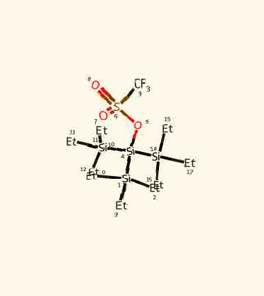 CC[Si](CC)(CC)[Si](OS(=O)(=O)C(F)(F)F)([Si](CC)(CC)CC)[Si](CC)(CC)CC